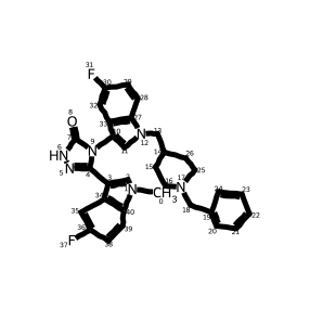 Cn1cc(-c2n[nH]c(=O)n2-c2cn(CC3CCN(Cc4ccccc4)CC3)c3ccc(F)cc23)c2cc(F)ccc21